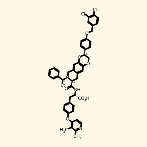 CC[C@@H](c1ccccc1)N1Cc2cc3c(cc2C[C@H]1C(=O)N[C@@H](Cc1ccc(Oc2ccnc(C)c2C)cc1)C(=O)O)OC[C@H](c1ccc(OCc2ccc(Cl)c(Cl)c2)cc1)O3